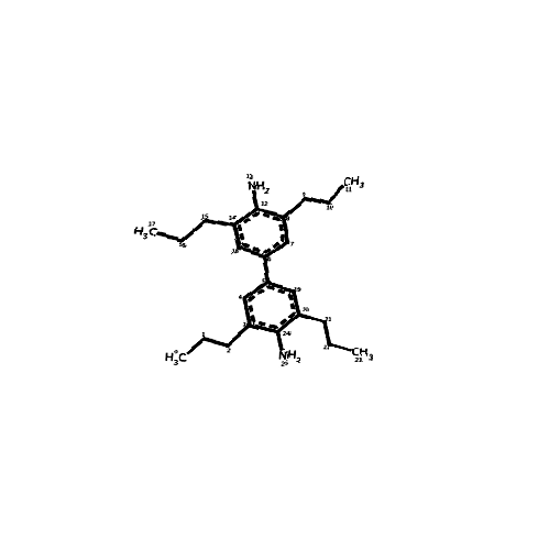 CCCc1cc(-c2cc(CCC)c(N)c(CCC)c2)cc(CCC)c1N